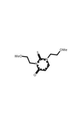 COCCn1ccc(=O)n(CCOC)c1=S